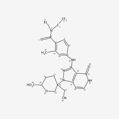 CCN(CC(F)(F)F)C(=O)c1ccc(Nc2nn(C3(CC#N)CCC(C(=O)O)OC3)c3cc[nH]c(=O)c23)cc1C